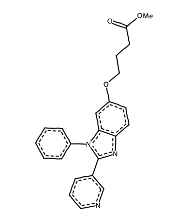 COC(=O)CCCOc1ccc2nc(-c3cccnc3)n(-c3ccccc3)c2c1